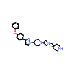 FC1(CN2CC(N3CCC(n4ccc(-c5ccc(Oc6ccccc6)cc5)n4)CC3)C2)CCNCC1